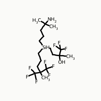 CC(C)(N)CCC[SiH](CCCC(C)(C(F)(F)F)C(F)(F)F)CCC(C)(O)C(F)(F)F